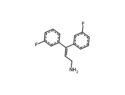 NCC=C(c1cccc(F)c1)c1cccc(F)c1